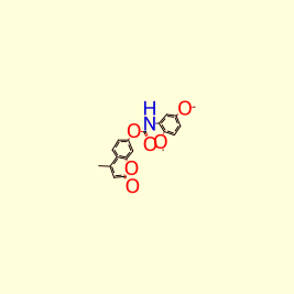 COc1ccc(OC)c(NC(=O)Oc2ccc3c(C)cc(=O)oc3c2)c1